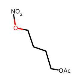 CC(=O)OCCCCO[N+](=O)[O-]